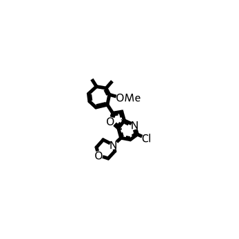 COC1=C(C)C(C)C=CC=C1c1cc2nc(Cl)cc(N3CCOCC3)c2o1